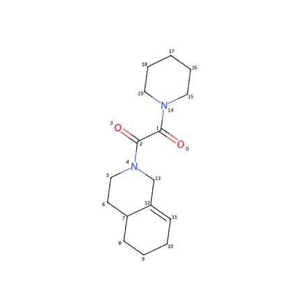 O=C(C(=O)N1CCC2CCCC=C2C1)N1CCCCC1